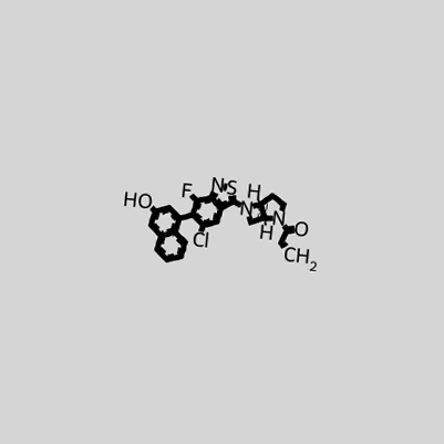 C=CC(=O)N1CC[C@H]2[C@@H]1CN2c1snc2c(F)c(-c3cc(O)cc4ccccc34)c(Cl)cc12